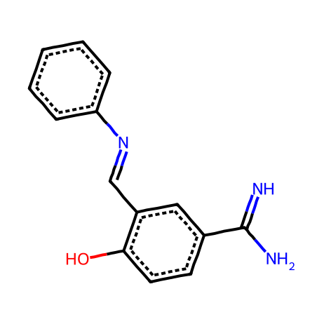 N=C(N)c1ccc(O)c(C=Nc2ccccc2)c1